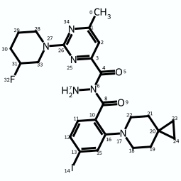 Cc1cc(C(=O)N(N)C(=O)c2ccc(I)cc2N2CCC3(CC2)CC3)nc(N2CCCC(F)C2)n1